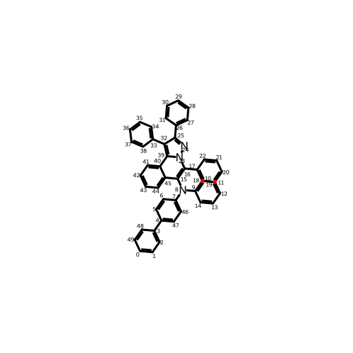 c1ccc(-c2ccc(N(c3ccccc3)c3c(-c4ccccc4)n4nc(-c5ccccc5)c(-c5ccccc5)c4c4ccccc34)cc2)cc1